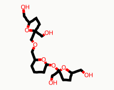 OCC1CCC(CO)(COCC2CCCC(OC3(CO)CCC(CO)O3)O2)O1